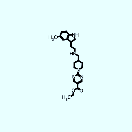 CCOC(=O)c1cnc(N2CCC(CNCCC3CNc4ccc(C)cc43)CC2)nc1